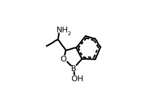 CC(N)C1OB(O)c2ccccc21